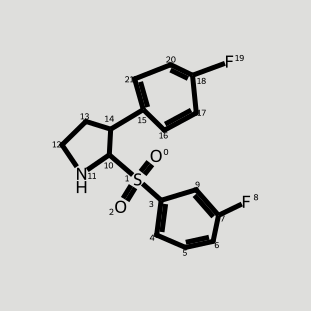 O=S(=O)(c1cccc(F)c1)C1NCCC1c1ccc(F)cc1